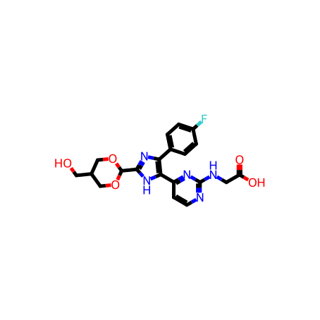 O=C(O)CNc1nccc(-c2[nH]c(C3OCC(CO)CO3)nc2-c2ccc(F)cc2)n1